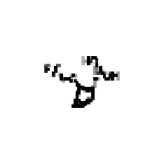 Fc1cc2cc-2c1OCC(F)(F)F.OBO